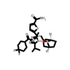 Cc1nnc(C(C)C)n1[C@@H]1C[C@H]2CC[C@@H](C1)N2CC[C@H](NC(=O)C1CCC(F)(F)CC1)c1ccc(C(N)=O)s1